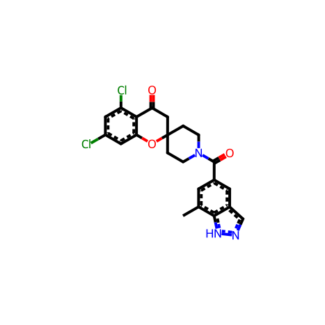 Cc1cc(C(=O)N2CCC3(CC2)CC(=O)c2c(Cl)cc(Cl)cc2O3)cc2cn[nH]c12